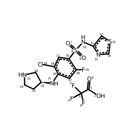 O=C(O)C(F)(F)F.O=S(=O)(Nc1cscn1)c1cc(Cl)c(N[C@H]2CCNC2)cc1F